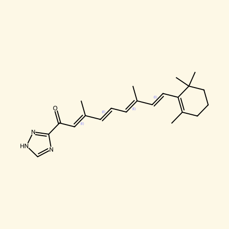 CC1=C(/C=C/C(C)=C/C=C/C(C)=C/C(=O)c2nc[nH]n2)C(C)(C)CCC1